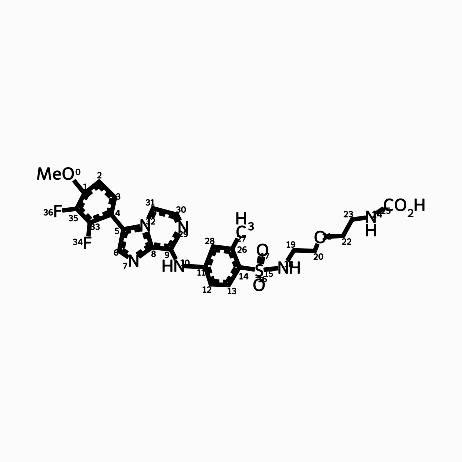 COc1ccc(-c2cnc3c(Nc4ccc(S(=O)(=O)NCCOCCNC(=O)O)c(C)c4)nccn23)c(F)c1F